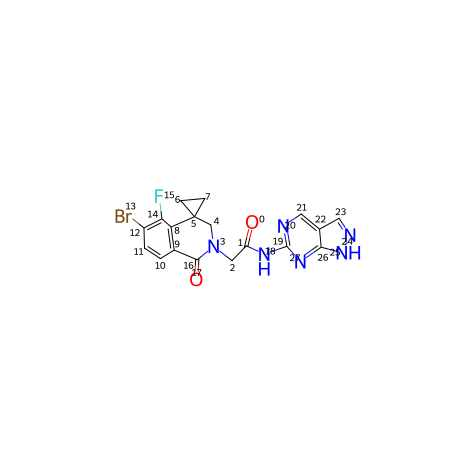 O=C(CN1CC2(CC2)c2c(ccc(Br)c2F)C1=O)Nc1ncc2cn[nH]c2n1